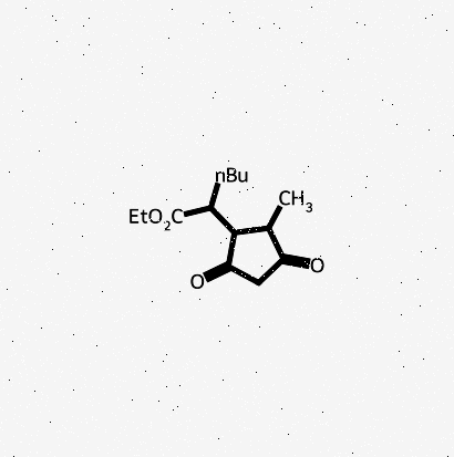 CCCCC(C(=O)OCC)C1C(=O)CC(=O)C1C